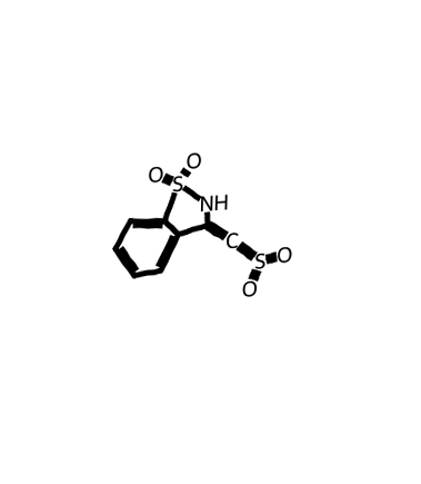 O=S(=O)=C=C1NS(=O)(=O)c2ccccc21